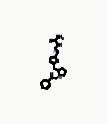 NC(=S)N/N=C/c1ccc(CN2CCC[C@@H]2CNc2ccccc2)o1